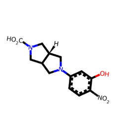 O=C(O)N1CC2CN(c3ccc([N+](=O)[O-])c(O)c3)C[C@H]2C1